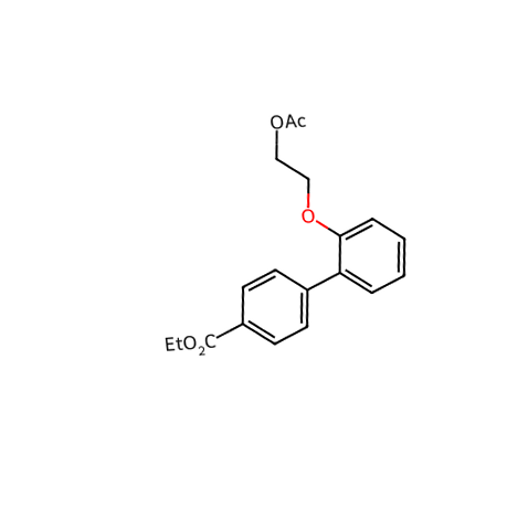 CCOC(=O)c1ccc(-c2ccccc2OCCOC(C)=O)cc1